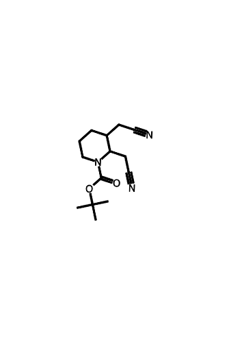 CC(C)(C)OC(=O)N1CCCC(CC#N)C1CC#N